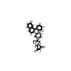 Cc1cc(C)n(CC(=O)N2CCN(c3ccccc3-c3cccc4ccccc34)CC2)n1